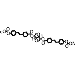 COC(=O)Oc1ccc(/C=C/c2ccc(C(=O)O[C@H]3CO[C@H]4[C@@H]3OC[C@H]4OC(=O)c3ccc(/C=C/c4ccc(OC(=O)OC)cc4)cc3)cc2)cc1